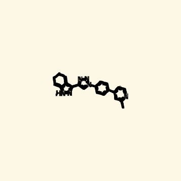 Cc1cc(-c2ccc(-n3cc(-c4n[nH]c5c4=CCCC=5)nn3)cc2)ccn1